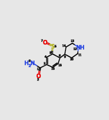 NC(=O)C1=CC(=S=O)C(C2CCNCC2)C=C1